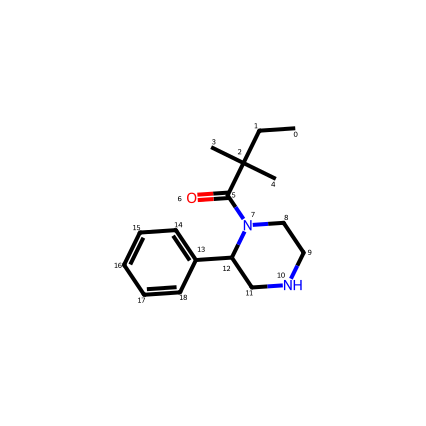 CCC(C)(C)C(=O)N1CCNCC1c1ccccc1